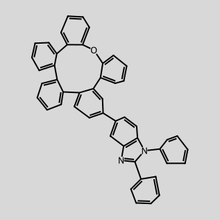 c1ccc(-c2nc3cc(-c4ccc5c(c4)-c4ccccc4Oc4ccccc4-c4ccccc4-c4ccccc4-5)ccc3n2-c2ccccc2)cc1